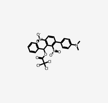 CN(C)c1ccc(-c2ccc([N+](=O)[O-])c(C(OC(=O)C(Cl)(Cl)Cl)c3ccccc3)c2[N+](=O)[O-])cc1